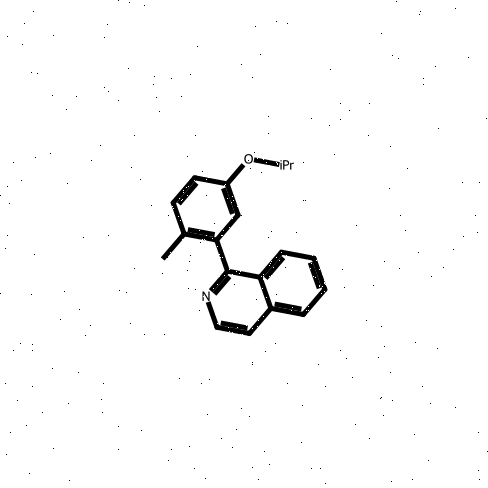 Cc1ccc(OC(C)C)cc1-c1nccc2ccccc12